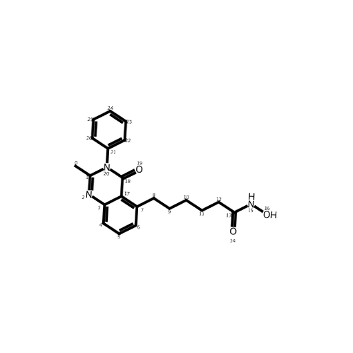 Cc1nc2cccc(CCCCCC(=O)NO)c2c(=O)n1-c1ccccc1